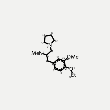 CCOc1ccc(CC(CN2CCCC2)NC)cc1OC